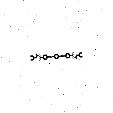 CCC(CC)CC(C)OC(=O)c1ccc(C#Cc2ccc(C#Cc3ccc(C(=O)OC(C)CC(CC)CC)cc3)cc2)cc1